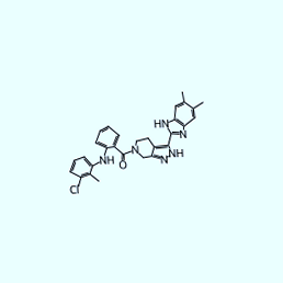 Cc1cc2nc(-c3[nH]nc4c3CCN(C(=O)c3ccccc3Nc3cccc(Cl)c3C)C4)[nH]c2cc1C